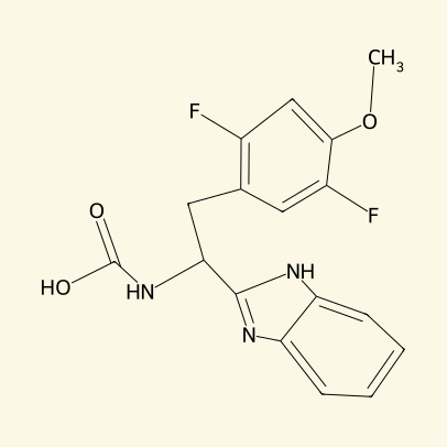 COc1cc(F)c(CC(NC(=O)O)c2nc3ccccc3[nH]2)cc1F